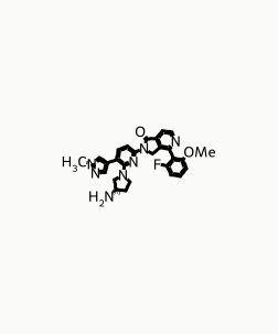 COc1cccc(F)c1-c1nccc2c1CN(c1ccc(-c3cnn(C)c3)c(N3CC[C@@H](N)C3)n1)C2=O